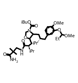 CCC(OC)Oc1cc(C[C@@H](CC2C(C[C@H](C(=O)NCC(C)(C)C(N)=O)C(C)C)OCN2C(=O)OCC(C)C)C(C)C)ccc1OC